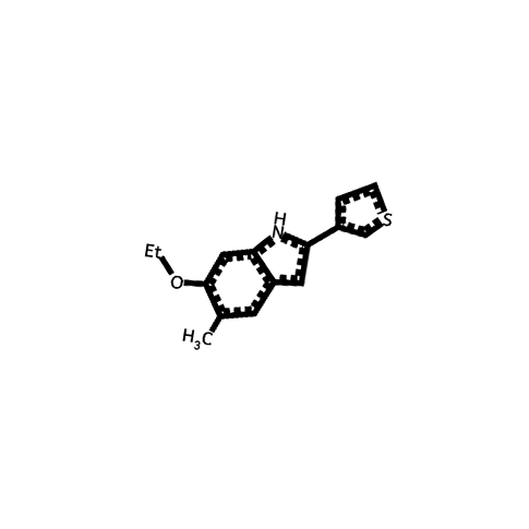 CCOc1cc2[nH]c(-c3ccsc3)cc2cc1C